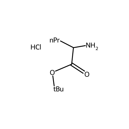 CCCC(N)C(=O)OC(C)(C)C.Cl